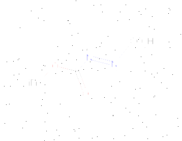 CC(C)OC(=O)/N=N/C(=O)O